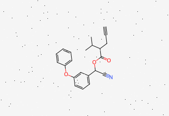 C#CCC(C(=O)OC(C#N)c1cccc(Oc2ccccc2)c1)C(C)C